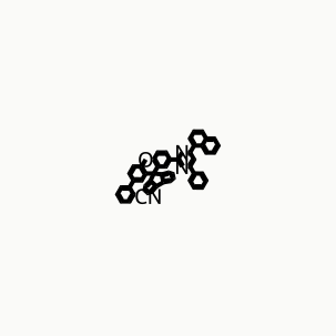 N#Cc1ccccc1-c1ccc2c(c1)C1(c3cc(-c4nc(-c5ccccc5)cc(-c5cccc6ccccc56)n4)ccc3O2)c2ccccc2-c2ccccc21